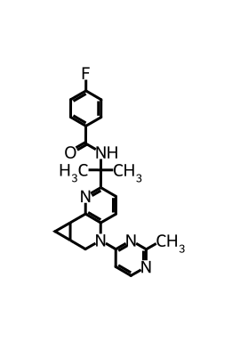 Cc1nccc(N2CC3CC3c3nc(C(C)(C)NC(=O)c4ccc(F)cc4)ccc32)n1